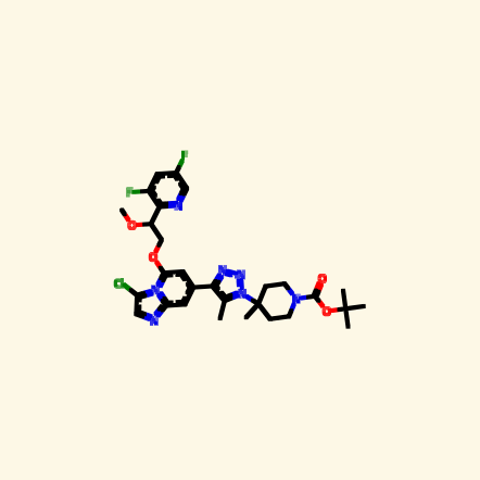 COC(COc1cc(-c2nnn(C3(C)CCN(C(=O)OC(C)(C)C)CC3)c2C)cc2ncc(Cl)n12)c1ncc(F)cc1F